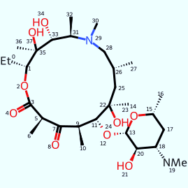 CC[C@H]1OC(=O)[C@H](C)C(=O)[C@H](C)[C@@H](O[C@@H]2O[C@H](C)C[C@H](NC)[C@H]2O)[C@](C)(O)C[C@@H](C)CN(C)[C@H](C)[C@@H](O)[C@]1(C)O